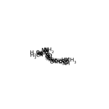 CNC(=O)OC(=N)c1ccc(C2=CCN(C(=O)CN3CC[C@]4(CCN(c5ccc(N)c(C(=N)c6cnn(C(C)C)c6)c5)C4=O)C3)CC2)cc1